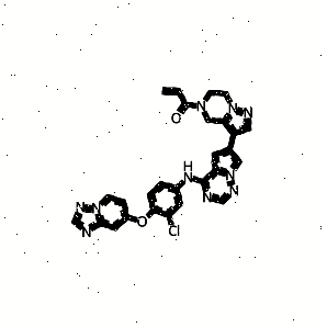 C=CC(=O)N1CCn2ncc(-c3cc4c(Nc5ccc(Oc6ccn7ncnc7c6)c(Cl)c5)ncnn4c3)c2C1